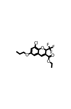 CCCOc1cc(Cl)c2c(c1)C=C(C(=O)OCC)C(C(F)(F)F)O2